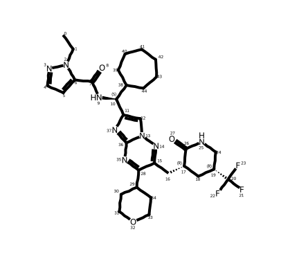 CCn1nccc1C(=O)N[C@H](c1cn2nc(C[C@H]3C[C@@H](C(F)(F)F)CNC3=O)c(C3CCOCC3)nc2n1)C1CCCCCC1